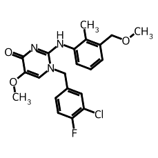 COCc1cccc(Nc2nc(=O)c(OC)cn2Cc2ccc(F)c(Cl)c2)c1C